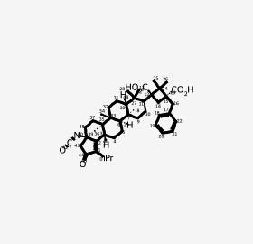 CC(C)C1=C2[C@H]3CC[C@@H]4[C@]5(C)CC[C@H]([C@@]6(C(=O)O)C[C@@](Cc7ccccc7)(C(=O)O)C6(C)C)C(C)(C)[C@H]5CC[C@@]4(C)[C@]3(C)CC[C@@]2(N=C=O)CC1=O